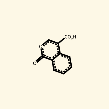 O=C(O)c1coc(=O)c2ccccc12